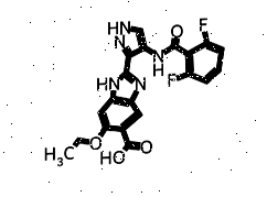 CCOc1cc2[nH]c(-c3n[nH]cc3NC(=O)c3c(F)cccc3F)nc2cc1C(=O)O